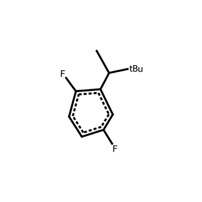 CC(c1cc(F)ccc1F)C(C)(C)C